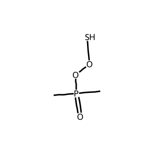 CP(C)(=O)OOS